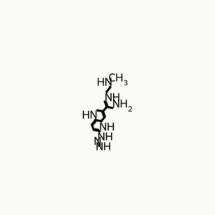 CNCCN/C=C(\CN)C1=CC2NC(NN=N)=CC=C2NC1